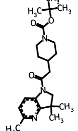 Cc1ccc2c(n1)C(C)(C)CN2C(=O)CC1CCN(C(=O)OC(C)(C)C)CC1